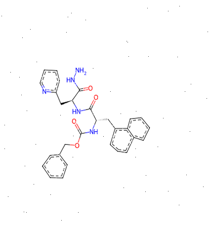 NNC(=O)[C@H](Cc1ccccn1)NC(=O)[C@H](Cc1cccc2ccccc12)NC(=O)OCc1ccccc1